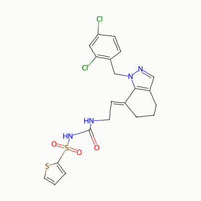 O=C(NCC=C1CCCc2cnn(Cc3ccc(Cl)cc3Cl)c21)NS(=O)(=O)c1cccs1